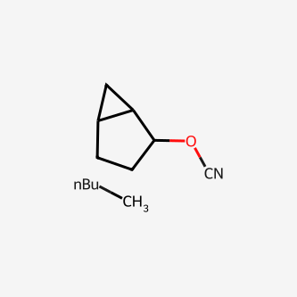 CCCCC.N#COC1CCC2CC21